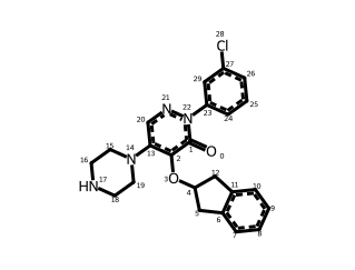 O=c1c(OC2Cc3ccccc3C2)c(N2CCNCC2)cnn1-c1cccc(Cl)c1